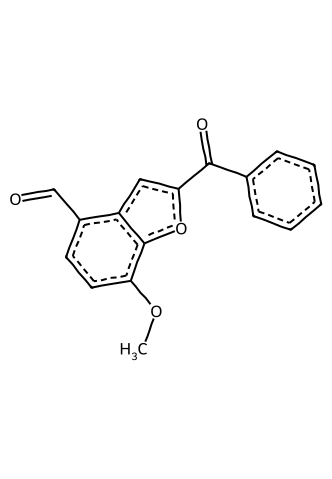 COc1ccc(C=O)c2cc(C(=O)c3ccccc3)oc12